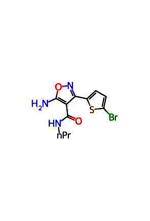 CCCNC(=O)c1c(-c2ccc(Br)s2)noc1N